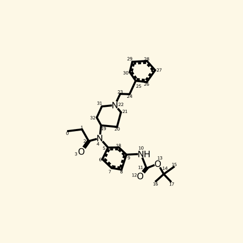 CCC(=O)N(c1cccc(NC(=O)OC(C)(C)C)c1)C1CCN(CCc2ccccc2)CC1